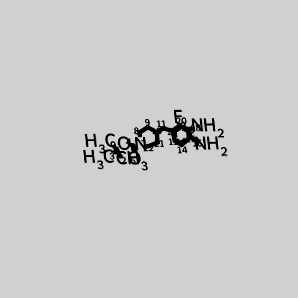 CC(C)(C)OC(=O)N1CCC(Cc2ccc(N)c(N)c2F)CC1